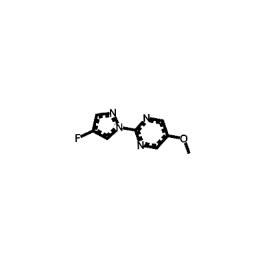 COc1cnc(-n2cc(F)cn2)nc1